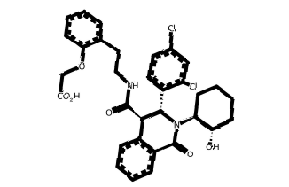 O=C(O)COc1ccccc1CCNC(=O)[C@@H]1c2ccccc2C(=O)N([C@H]2CCCC[C@@H]2O)[C@H]1c1ccc(Cl)cc1Cl